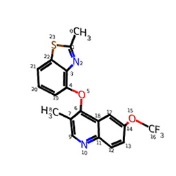 Cc1nc2c(Oc3c(C)cnc4ccc(OC(F)(F)F)cc34)cccc2s1